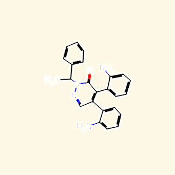 CC(c1ccccc1)n1ncc(-c2ccccc2N)c(-c2ccccc2N)c1=O